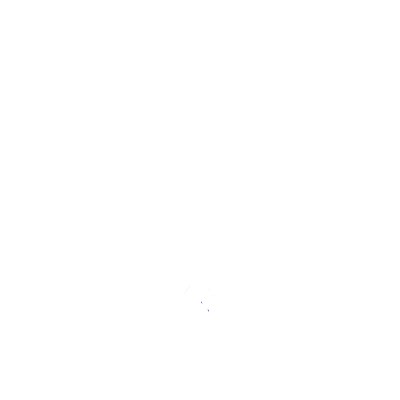 CCCCCCCCCCCCCCCCCc1cc[n+](CCC)cc1